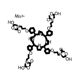 CC(=O)N(CCCOc1cccc(-c2c3nc(c(-c4cccc(OCCCN(CC(=O)O)C(C)=O)c4)c4ccc([nH]4)c(-c4cccc(OCCCN(CC(=O)O)C(C)=O)c4)c4nc(c(-c5cccc(OCCCN(CC(=O)O)C(C)=O)c5)c5ccc2[nH]5)C=C4)C=C3)c1)CC(=O)O.[Mn+3]